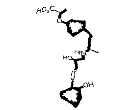 C[C@H](Cc1ccc(O[C@@H](C)C(=O)O)cc1)NCC(O)COc1ccccc1O